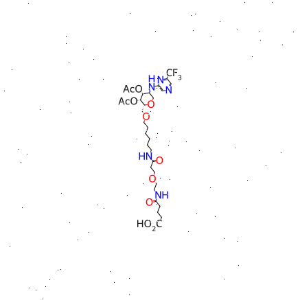 CC(=O)O[C@@H]1[C@H](OC(C)=O)[C@@H](Nc2cncc(C(F)(F)F)n2)CO[C@@H]1COCCCCCCNC(=O)CCOCCNC(=O)CCCC(=O)O